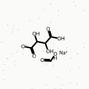 O=C([O-])C(O)C(O)C(=O)O.O=CO.[Na+]